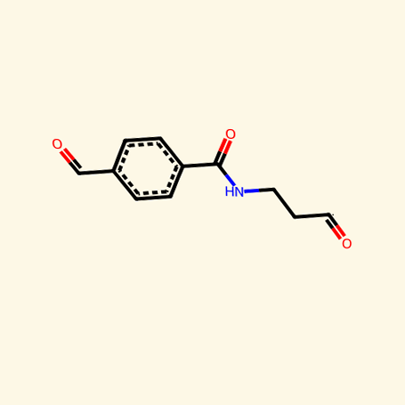 O=[C]CCNC(=O)c1ccc(C=O)cc1